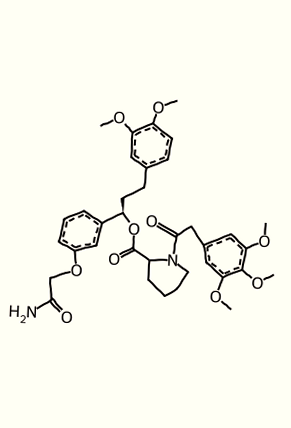 COc1ccc(CC[C@@H](OC(=O)C2CCCCN2C(=O)Cc2cc(OC)c(OC)c(OC)c2)c2cccc(OCC(N)=O)c2)cc1OC